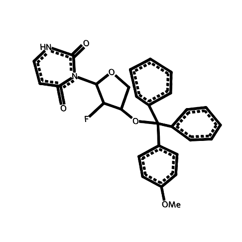 COc1ccc(C(OC2COC(n3c(=O)cc[nH]c3=O)C2F)(c2ccccc2)c2ccccc2)cc1